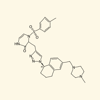 Cc1ccc(S(=O)(=O)N2C=CNC(=O)C2Cc2cn([C@@H]3CCCc4cc(CN5CCN(C)CC5)ccc43)nn2)cc1